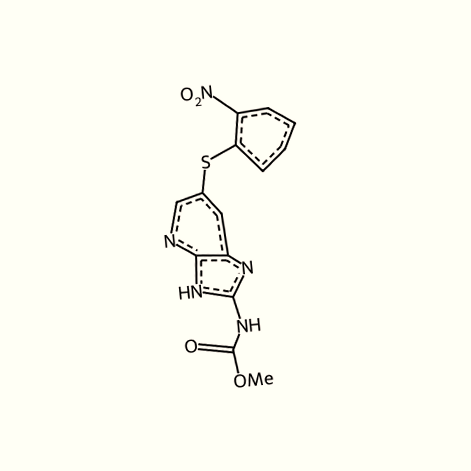 COC(=O)Nc1nc2cc(Sc3ccccc3[N+](=O)[O-])cnc2[nH]1